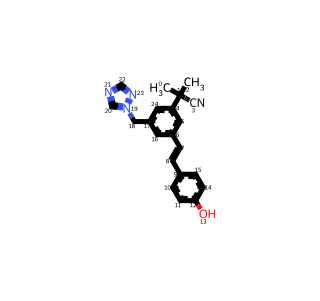 CC(C)(C#N)c1cc(/C=C/c2ccc(O)cc2)cc(Cn2cncn2)c1